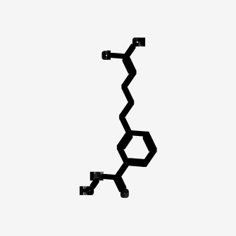 N#CC(Cl)=CCCCc1cccc(C(=O)NO)c1